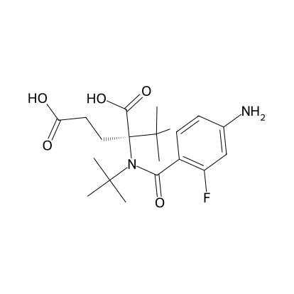 CC(C)(C)N(C(=O)c1ccc(N)cc1F)[C@@](CCC(=O)O)(C(=O)O)C(C)(C)C